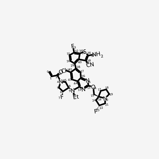 C=CC(=O)N1C[C@@H](F)[C@@H](N(CC)c2nc(OC[C@@]34CCCN3C[C@H](F)C4)nc3cc(-c4ccc(F)c5sc(N)c(C#N)c45)c(Cl)cc23)C1